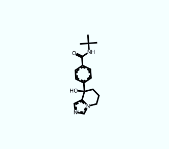 CC(C)(C)NC(=O)c1ccc(C2(O)CCCn3cncc32)cc1